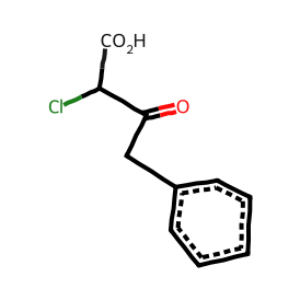 O=C(O)C(Cl)C(=O)Cc1ccccc1